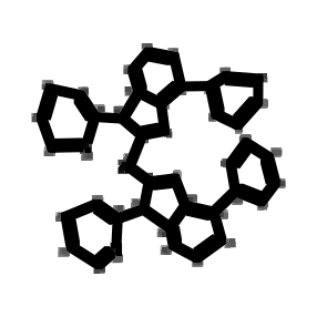 C1=[C]([Zr][C]2=Cc3c(-c4ccccc4)cccc3C2c2ccccn2)C(c2ccccn2)c2cccc(-c3ccccc3)c21